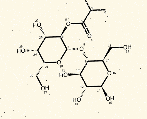 CC(C)C(=O)O[C@H]1[C@H](O[C@H]2[C@H](O)[C@@H](O)[C@H](O)O[C@@H]2CO)O[C@H](CO)[C@H](O)[C@@H]1O